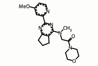 COc1ccnc(-c2nc3c(c(N(C)CC(=O)N4CCOCC4)n2)CCC3)c1